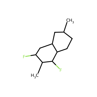 CC1CCC2C(C1)CC(F)C(C)C2F